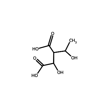 CC(O)C(C(=O)O)C(O)C(=O)O